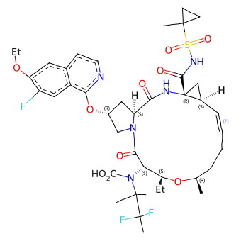 CCOc1cc2ccnc(O[C@@H]3C[C@H]4C(=O)N[C@]5(C(=O)NS(=O)(=O)C6(C)CC6)C[C@H]5/C=C\CC[C@@H](C)O[C@@H](CC)[C@H](N(C(=O)O)C(C)(C)C(C)(F)F)C(=O)N4C3)c2cc1F